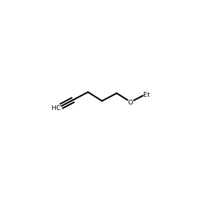 C#CCCCOCC